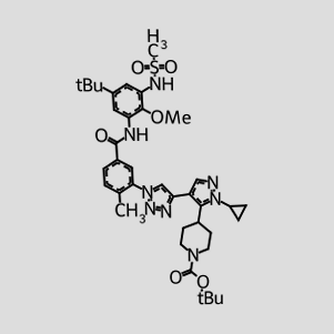 COc1c(NC(=O)c2ccc(C)c(-n3cc(-c4cnn(C5CC5)c4C4CCN(C(=O)OC(C)(C)C)CC4)nn3)c2)cc(C(C)(C)C)cc1NS(C)(=O)=O